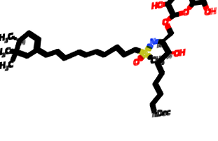 CCCCCCCCCCCCCCC[C@@H](O)[C@H](COC1OC(CO)C(O)C(O)C1O)N=S(C)(=O)CCCCCCCCCCC1=CC[C@@H](C)C(C)(C)C1